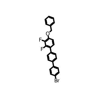 Fc1c(OCc2ccccc2)ccc(-c2ccc(-c3ccc(Br)cc3)cc2)c1F